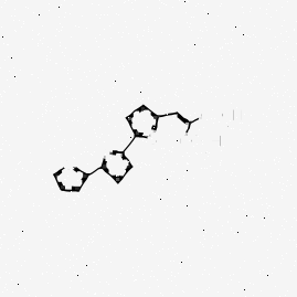 O=C(O)C(=Cc1ccc(-c2ccc(-c3cccs3)s2)s1)C(=O)O